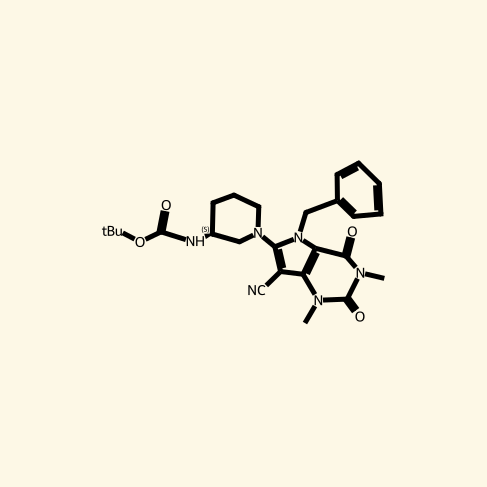 Cn1c(=O)c2c(c(C#N)c(N3CCC[C@H](NC(=O)OC(C)(C)C)C3)n2Cc2ccccc2)n(C)c1=O